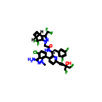 Cn1nc(N)c2c(Cl)ccc(-c3ccc(C#CC(O)(CF)CF)nc3[C@H](Cc3cc(F)cc(F)c3)NC(=O)Cn3nc(C(F)F)c4c3C(F)(F)[C@@H]3C=C[C@H]43)c21